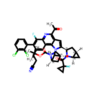 CC(=O)c1nc2c(F)c(-c3cccc(Cl)c3Cl)c(CCC#N)cc2c2c1cc([C@H]1C[C@H]3C[C@H]3N1C(=O)C1(F)CC1)n2[C@H]1[C@@H]2C[C@H]1N(C(=O)OC(C)(C)C)C2